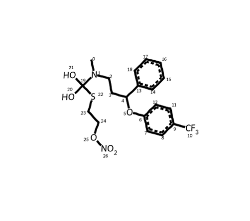 CN(CCC(Oc1ccc(C(F)(F)F)cc1)c1ccccc1)C(O)(O)SCCO[N+](=O)[O-]